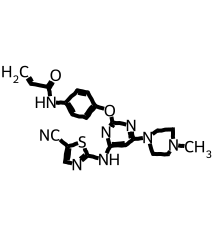 C=CC(=O)Nc1ccc(Oc2nc(Nc3ncc(C#N)s3)cc(N3CCN(C)CC3)n2)cc1